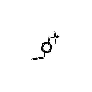 O=C=Nc1ccc(OS(=O)(=O)F)cc1